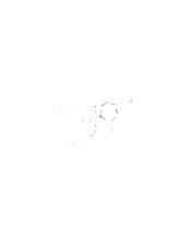 C=C1CCc2cc(Br)cnc2N1CCC